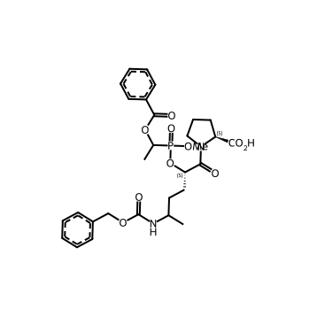 COP(=O)(O[C@@H](CCC(C)NC(=O)OCc1ccccc1)C(=O)N1CCC[C@H]1C(=O)O)C(C)OC(=O)c1ccccc1